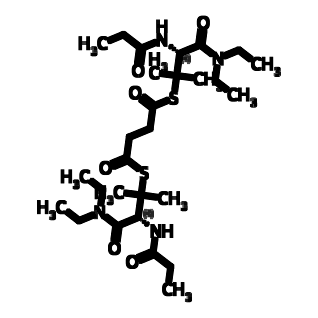 CCC(=O)N[C@H](C(=O)N(CC)CC)C(C)(C)SC(=O)CCC(=O)SC(C)(C)[C@H](NC(=O)CC)C(=O)N(CC)CC